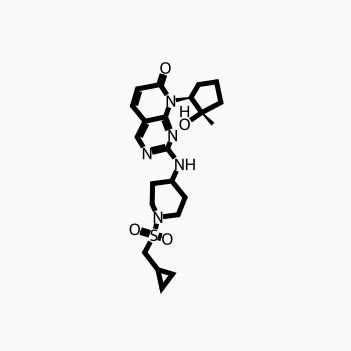 C[C@]1(O)CCC[C@@H]1n1c(=O)ccc2cnc(NC3CCN(S(=O)(=O)CC4CC4)CC3)nc21